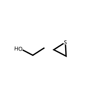 C1CS1.CCO